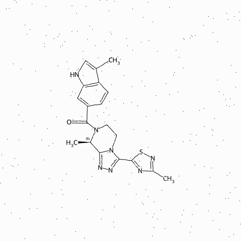 Cc1nsc(-c2nnc3n2CCN(C(=O)c2ccc4c(C)c[nH]c4c2)[C@@H]3C)n1